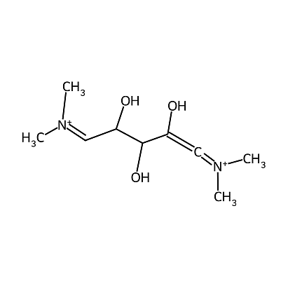 C[N+](C)=C=C(O)C(O)C(O)C=[N+](C)C